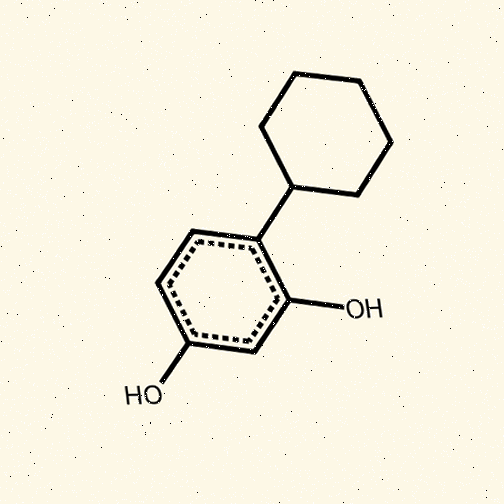 Oc1ccc(C2CCCCC2)c(O)c1